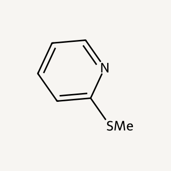 [CH2]Sc1ccccn1